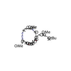 COCCO[C@H]1C[C@@H]2CC[C@@H](C)[C@@](O)(O2)C(=O)C(=O)N2CCCC[C@H]2C(=O)O[C@H](C(C)C[C@@H]2CC[C@@H](OCCCO[Si](C)(C)C(C)(C)C)[C@H](OC)C2)CC(=O)[C@H](C)/C=C(\C)[C@@H](O)[C@@H](OC)C(=O)[C@H](C)C[C@H](C)/C=C/C=C/C=C/1C